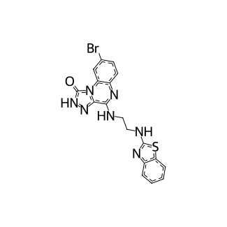 O=c1[nH]nc2c(NCCNc3nc4ccccc4s3)nc3ccc(Br)cc3n12